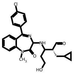 CN1C(=O)C(NC(CCO)[C@H](C=O)CC2CC2)N=C(c2ccc(Cl)cc2)c2ccccc21